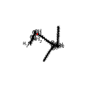 CCCCCCCCCCCCCCCC(=O)OC[C@](C)(OC(=O)CCCCCCCCCCCCCCC)SC[C@@](N)(C(=O)O)C(=O)CCCCCCCCCCCCCCC.NCCCCC(N)C(=O)OC[C@H](N)C(=O)O